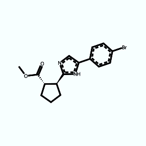 COC(=O)[C@H]1CCC[C@@H]1c1ncc(-c2ccc(Br)cc2)[nH]1